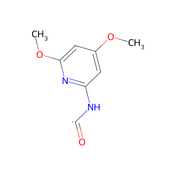 COc1cc(N[C]=O)nc(OC)c1